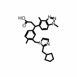 Cc1ccc(C(CC(=O)O)c2ccc3c(nnn3C)c2C)cc1Cn1ccnc1CC1CCCC1